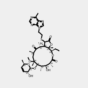 CC[C@H]1OC(=O)[C@H](C)[C@@H](O)[C@H](C)[C@@H](O[C@@H]2O[C@H](C)C=C[C@H]2O)[C@](C)(OC)C[C@@H](C)C(=O)[C@H](C)[C@H]2C(SCCn3cnc4c(C)ncnc43)C(=O)O[C@@]21C